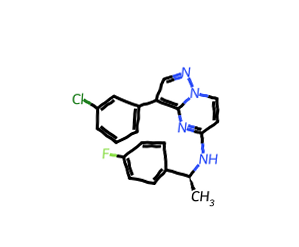 C[C@H](Nc1ccn2ncc(-c3cccc(Cl)c3)c2n1)c1ccc(F)cc1